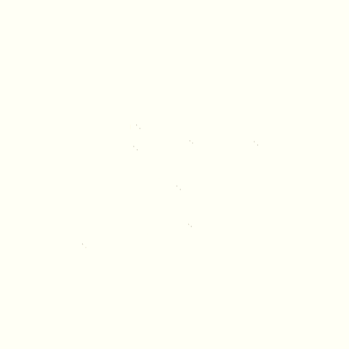 Cc1ccncc1-c1ccc2[nH]nc(-c3cc4c(-c5ccncc5)ccnc4[nH]3)c2n1